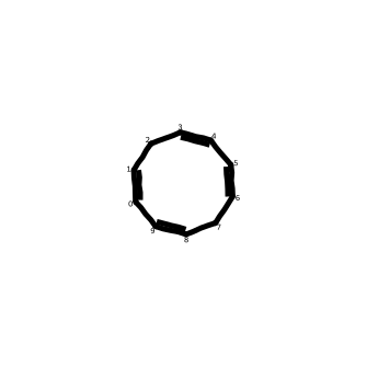 C1=CCC=CC=CCC=C1